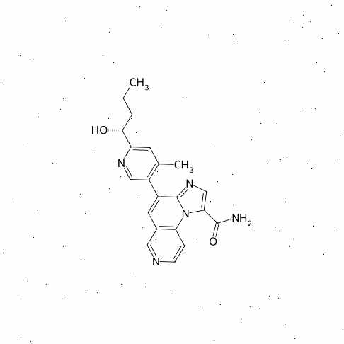 CCC[C@@H](O)c1cc(C)c(-c2cc3cnccc3n3c(C(N)=O)cnc23)cn1